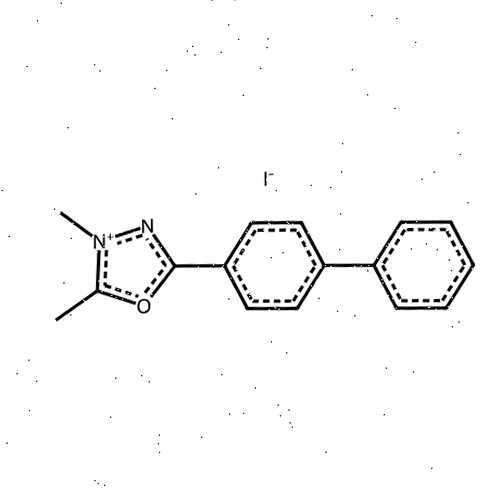 Cc1oc(-c2ccc(-c3ccccc3)cc2)n[n+]1C.[I-]